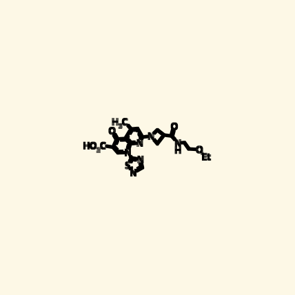 CCOCCNC(=O)C1CN(c2cc(C)c3c(=O)c(C(=O)O)cn(-c4ncns4)c3n2)C1